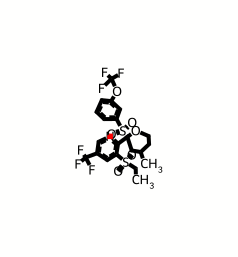 CCS(=O)(=O)c1cc(C(F)(F)F)cnc1C1(S(=O)(=O)c2cccc(OC(F)(F)F)c2)CC(C)CCO1